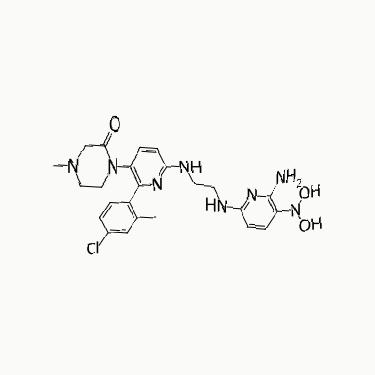 Cc1cc(Cl)ccc1-c1nc(NCCNc2ccc(N(O)O)c(N)n2)ccc1N1CCN(C)CC1=O